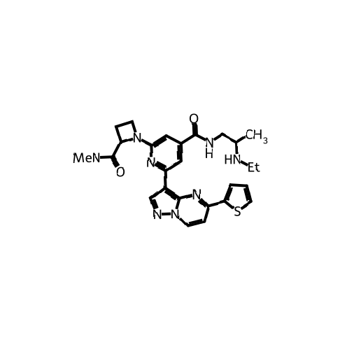 CCNC(C)CNC(=O)c1cc(-c2cnn3ccc(-c4cccs4)nc23)nc(N2CCC2C(=O)NC)c1